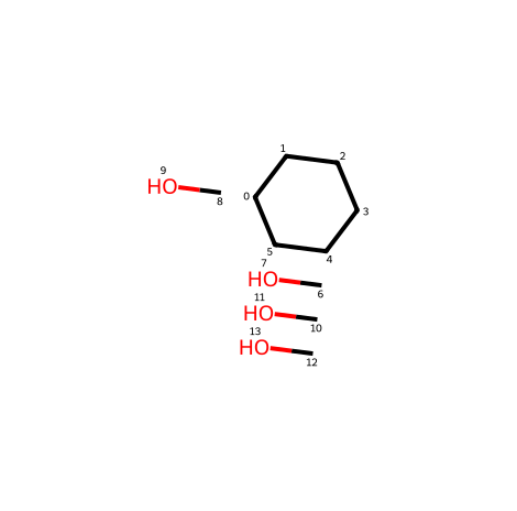 C1CCCCC1.CO.CO.CO.CO